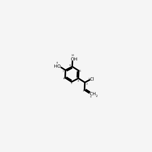 C=CC(Cl)c1ccc(O)c(O)c1